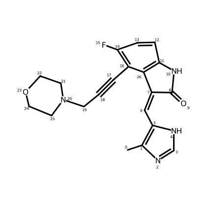 Cc1nc[nH]c1C=C1C(=O)Nc2ccc(F)c(C#CCN3CCOCC3)c21